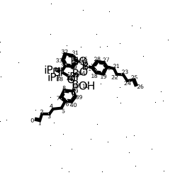 C=CCCCCc1ccc(B(O)OB(OB(O)c2ccc(CCCCC=C)cc2)c2ccccc2[Si](C(C)C)(C(C)C)C(C)C)cc1